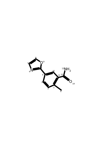 Cc1ccc(-c2ncco2)cc1C(N)=O